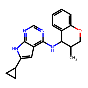 CC1COc2ccccc2C1Nc1ncnc2[nH]c(C3CC3)cc12